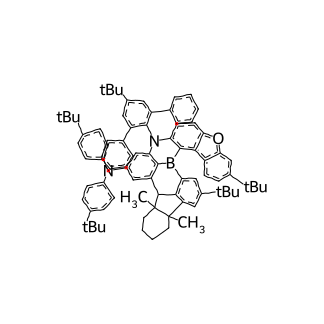 CC(C)(C)c1ccc(N(c2ccc(C(C)(C)C)cc2)c2cc3c4c(c2)N(c2c(-c5ccccc5)cc(C(C)(C)C)cc2-c2ccccc2)c2ccc5oc6cc(C(C)(C)C)ccc6c5c2B4c2cc(C(C)(C)C)cc4c2C3C2(C)CCCCC42C)cc1